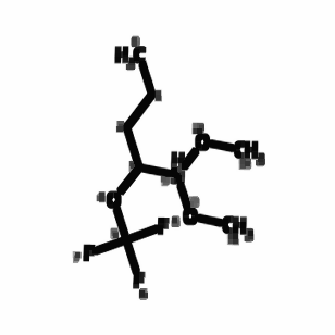 CCCC(OC(F)(F)F)[SiH](OC)OC